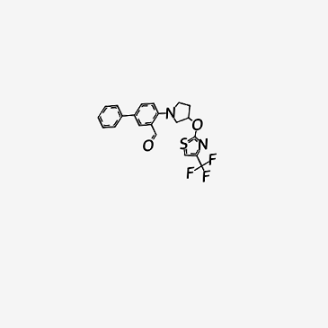 O=Cc1cc(-c2ccccc2)ccc1N1CCC(Oc2nc(C(F)(F)F)cs2)C1